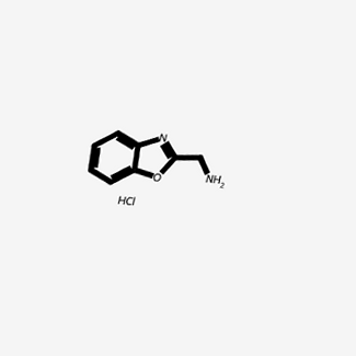 Cl.NCc1nc2ccccc2o1